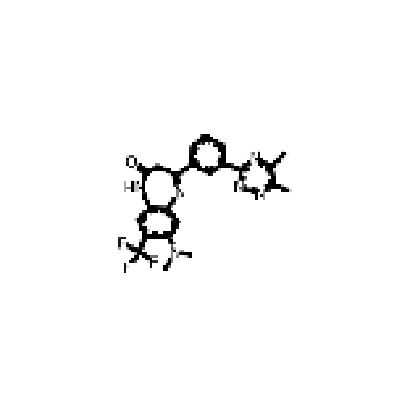 Cc1nnc(-c2cccc(C3=Nc4cc(N(C)C)c(C(F)(F)F)cc4NC(=O)C3)c2)nc1C